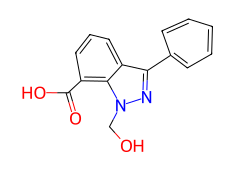 O=C(O)c1cccc2c(-c3ccccc3)nn(CO)c12